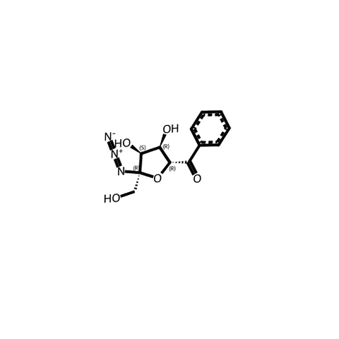 [N-]=[N+]=N[C@]1(CO)O[C@@H](C(=O)c2ccccc2)[C@H](O)[C@@H]1O